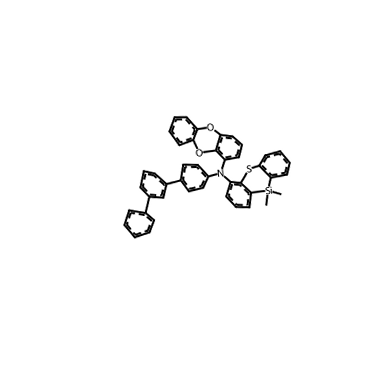 C[Si]1(C)c2ccccc2Sc2c(N(c3ccc(-c4cccc(-c5ccccc5)c4)cc3)c3cccc4c3Oc3ccccc3O4)cccc21